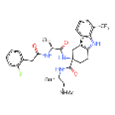 CCC(C)[C@H](NC(=O)Cc1ccccc1F)C(=O)N[C@]1(C(=O)N[C@H](CNC(C)=O)C(C)CC)CCc2[nH]c3c(C(F)(F)F)cccc3c2C1